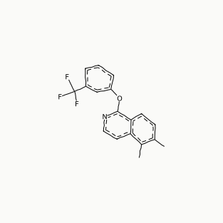 Cc1ccc2c(Oc3cccc(C(F)(F)F)c3)nccc2c1C